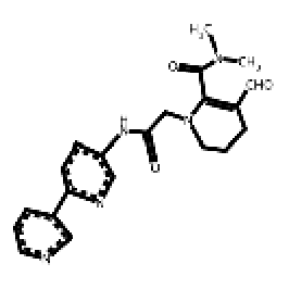 CN(C)C(=O)C1=C(C=O)CCCN1CC(=O)Nc1ccc(-c2cccnc2)nc1